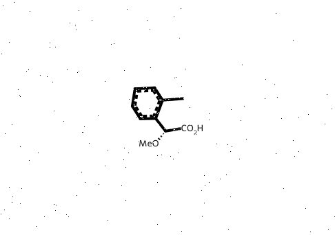 CO[C@@H](C(=O)O)c1ccccc1C